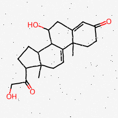 CC12CCC(=O)C=C1CC(O)C1C2=CCC2(C)C(C(=O)CO)CCC12